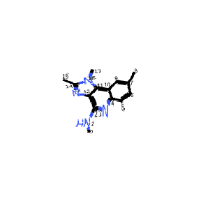 CNc1nc2ccc(C)cc2c2c1nc(C)n2C